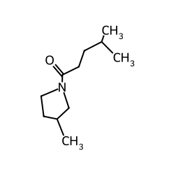 CC(C)CCC(=O)N1CCC(C)C1